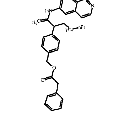 C=C(Nc1ccc2cnccc2c1)C(CNCCC)c1ccc(COC(=O)Cc2ccccc2)cc1